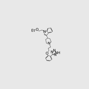 CCOCCn1cc(C2CCN(CCCOc3ccccc3-c3nn[nH]n3)CC2)c2ccccc21